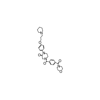 O=C(c1ccc(C(=O)N2CCN(c3ccc(OCCCN4CCCCC4)cc3)C(=O)C2)cc1)N1CCOCC1